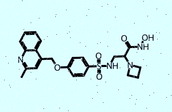 Cc1cc(COc2ccc(S(=O)(=O)NCC(C(=O)NO)N3CCC3)cc2)c2ccccc2n1